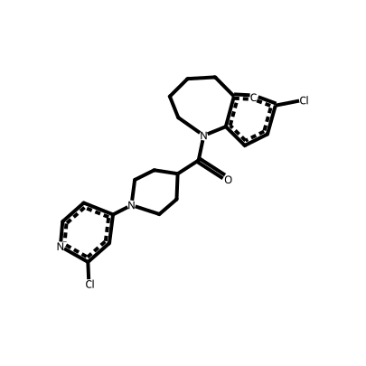 O=C(C1CCN(c2ccnc(Cl)c2)CC1)N1CCCCc2cc(Cl)ccc21